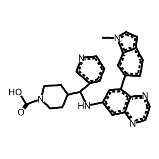 Cn1ccc2ccc(-c3cc(NC(c4cccnc4)C4CCN(C(=O)O)CC4)cc4nccnc34)cc21